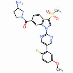 COc1ccc(F)c(-c2cnc(-n3cc(S(C)(=O)=O)c4ccc(C(=O)N5CCC(N)C5)cc43)nc2)c1